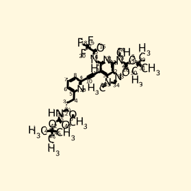 CO[C@@H](CCc1cccc(C#Cc2c(NC(=O)C(F)(F)F)nc(N(C)C(=O)OC(C)(C)C)c3ncn(C)c23)n1)NC(=O)OC(C)(C)C